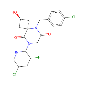 O=C1CN(C2NCC(Cl)CC2F)C(=O)[C@]2(C[C@H](O)C2)N1Cc1ccc(Cl)cc1